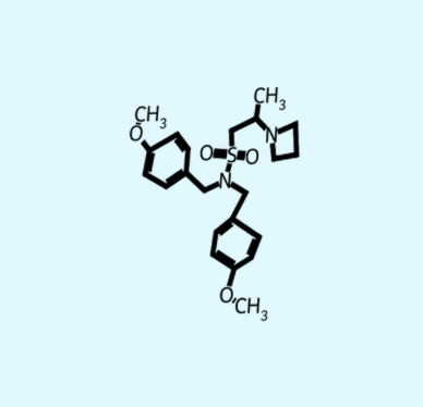 COc1ccc(CN(Cc2ccc(OC)cc2)S(=O)(=O)CC(C)N2CCC2)cc1